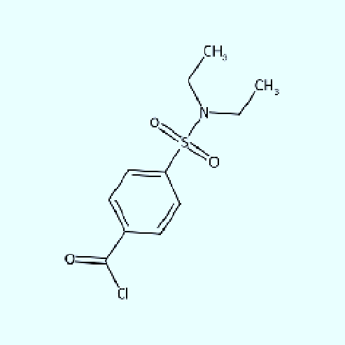 CCN(CC)S(=O)(=O)c1ccc(C(=O)Cl)cc1